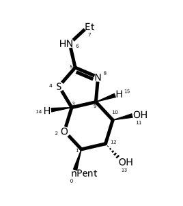 CCCCC[C@H]1O[C@@H]2SC(NCC)=N[C@@H]2[C@@H](O)[C@@H]1O